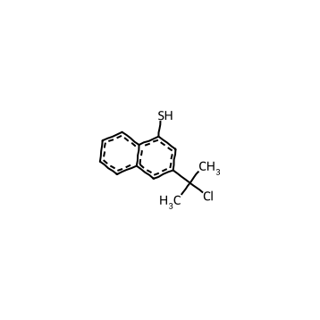 CC(C)(Cl)c1cc(S)c2ccccc2c1